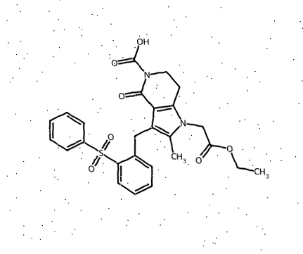 CCOC(=O)Cn1c(C)c(Cc2ccccc2S(=O)(=O)c2ccccc2)c2c1CCN(C(=O)O)C2=O